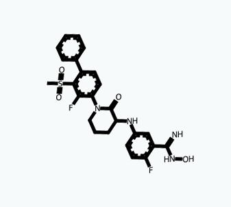 CS(=O)(=O)c1c(-c2ccccc2)ccc(N2CCCC(Nc3ccc(F)c(C(=N)NO)c3)C2=O)c1F